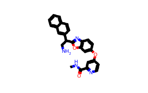 CNC(=O)c1cc(Oc2ccc3nc(C(CN)c4ccc5ccccc5c4)oc3c2)ccn1